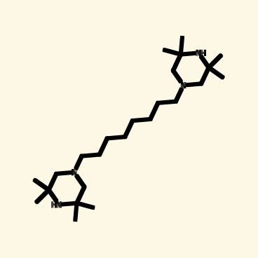 CC1(C)CN(CCCCCCCCN2CC(C)(C)NC(C)(C)C2)CC(C)(C)N1